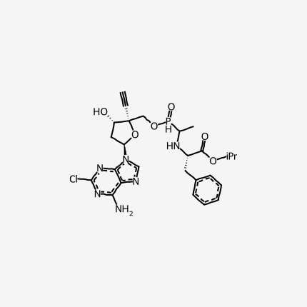 C#C[C@]1(CO[PH](=O)C(C)N[C@@H](Cc2ccccc2)C(=O)OC(C)C)O[C@@H](n2cnc3c(N)nc(Cl)nc32)C[C@@H]1O